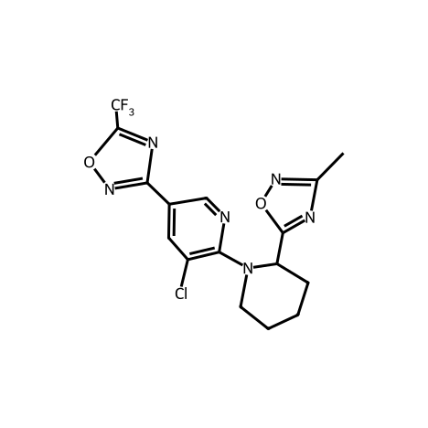 Cc1noc(C2CCCCN2c2ncc(-c3noc(C(F)(F)F)n3)cc2Cl)n1